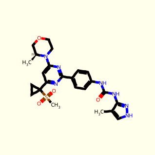 Cc1c[nH]nc1NC(=O)Nc1ccc(-c2nc(N3CCOC[C@@H]3C)cc(C3(S(C)(=O)=O)CC3)n2)cc1